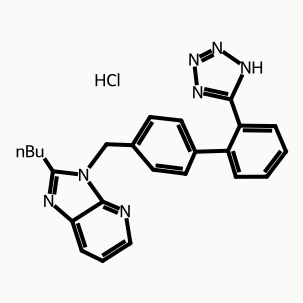 CCCCc1nc2cccnc2n1Cc1ccc(-c2ccccc2-c2nnn[nH]2)cc1.Cl